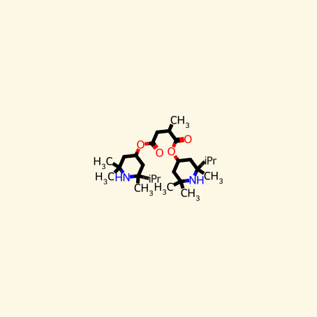 CC(CC(=O)OC1CC(C)(C)NC(C)(C(C)C)C1)C(=O)OC1CC(C)(C)NC(C)(C(C)C)C1